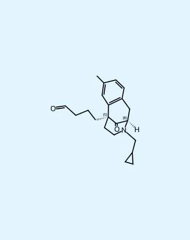 Cc1ccc2c(c1)[C@]1(CCCC=O)CCN(CC3CC3)[C@H](C2)C1=O